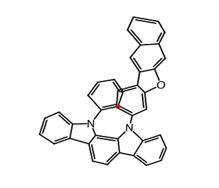 c1ccc(-n2c3ccccc3c3ccc4c5ccccc5n(-c5ccc6c(c5)oc5cc7ccccc7cc56)c4c32)cc1